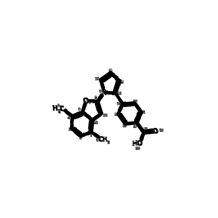 Cc1ccc(C)c2oc(-n3cccc3-c3ccc(C(=O)O)cc3)cc12